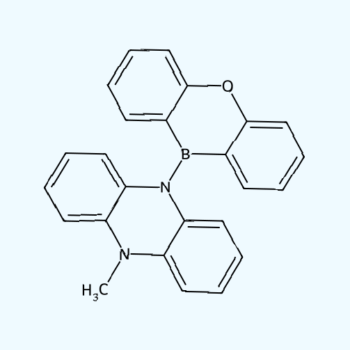 CN1c2ccccc2N(B2c3ccccc3Oc3ccccc32)c2ccccc21